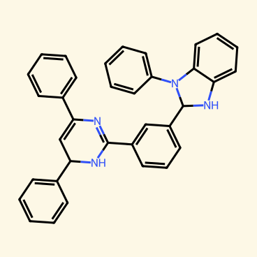 C1=C(c2ccccc2)N=C(c2cccc(C3Nc4ccccc4N3c3ccccc3)c2)NC1c1ccccc1